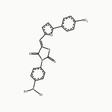 CCN(CC)c1ccc(N2C(=O)C(=Cc3ccc(-c4ccc([N+](=O)[O-])cc4)o3)SC2=S)cc1